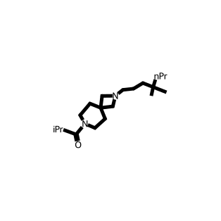 CCCC(C)(C)CCCN1CC2(CCN(C(=O)C(C)C)CC2)C1